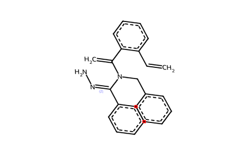 C=Cc1ccccc1C(=C)N(Cc1ccccc1)/C(=N\N)c1ccccc1